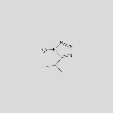 CC(C)c1nnnn1N